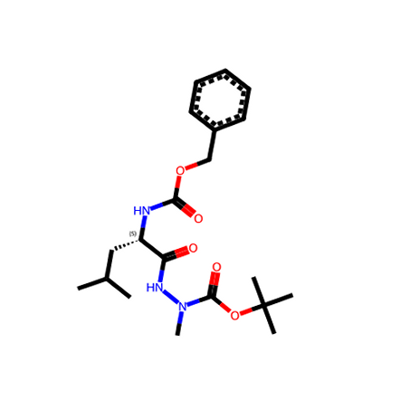 CC(C)C[C@H](NC(=O)OCc1ccccc1)C(=O)NN(C)C(=O)OC(C)(C)C